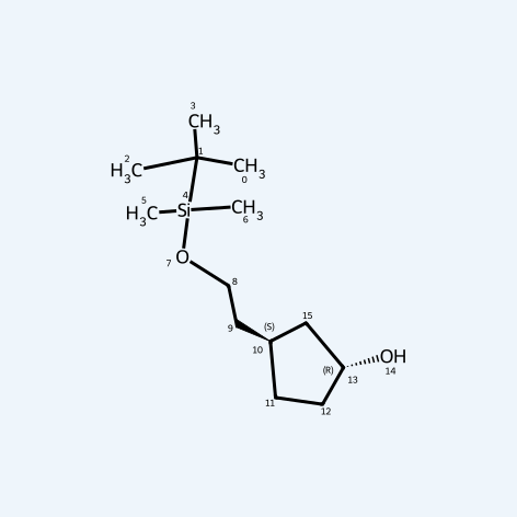 CC(C)(C)[Si](C)(C)OCC[C@@H]1CC[C@@H](O)C1